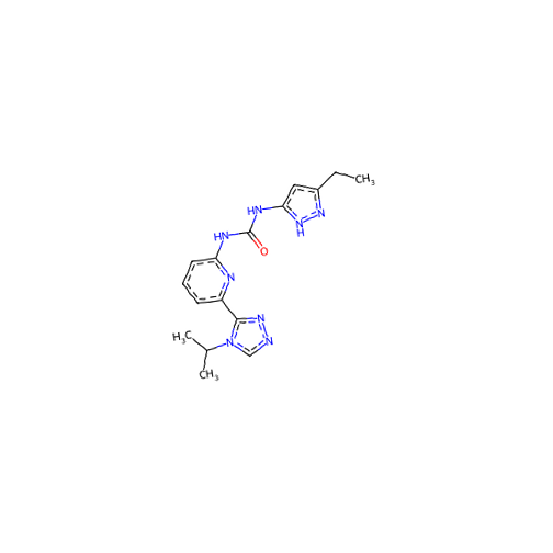 CCc1cc(NC(=O)Nc2cccc(-c3nncn3C(C)C)n2)[nH]n1